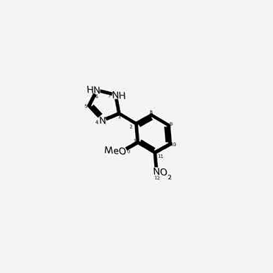 COc1c(C2N=CNN2)cccc1[N+](=O)[O-]